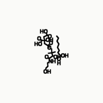 CC(C)(COC(=O)CC(O)(CC(=O)O)C(=O)O)C(O)C(=O)NCCCO.CCCCCCCC(O)O